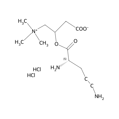 C[N+](C)(C)CC(CC(=O)[O-])OC(=O)[C@@H](N)CCCN.Cl.Cl